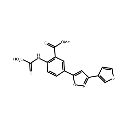 COC(=O)c1cc(-c2cc(-c3ccsc3)no2)ccc1NC(=O)C(=O)O